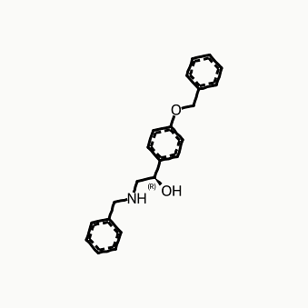 O[C@@H](CNCc1ccccc1)c1ccc(OCc2ccccc2)cc1